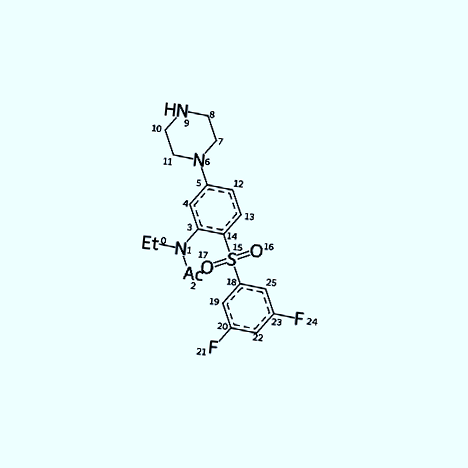 CCN(C(C)=O)c1cc(N2CCNCC2)ccc1S(=O)(=O)c1cc(F)cc(F)c1